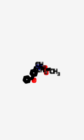 CCC(=O)OCC[N+](C)(C)Cc1ccc(C(=O)c2ccccc2)cc1